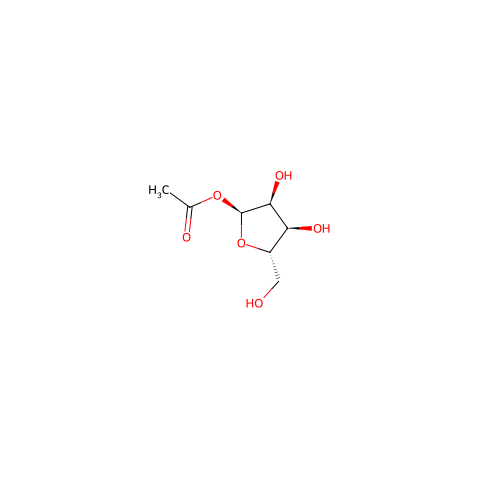 CC(=O)O[C@@H]1O[C@@H](CO)[C@H](O)[C@@H]1O